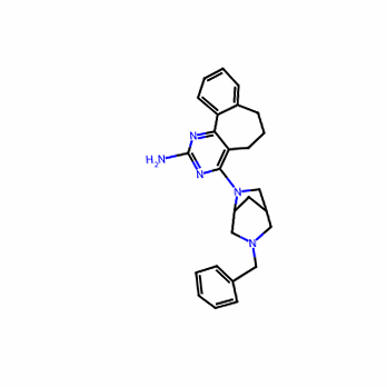 Nc1nc2c(c(N3CC4CC3CN(Cc3ccccc3)C4)n1)CCCc1ccccc1-2